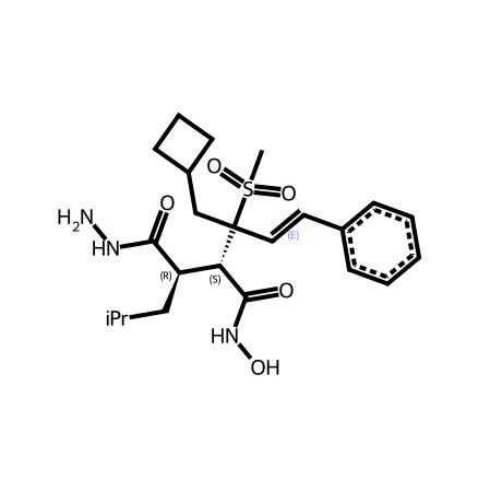 CC(C)C[C@@H](C(=O)NN)[C@@H](C(=O)NO)C(/C=C/c1ccccc1)(CC1CCC1)S(C)(=O)=O